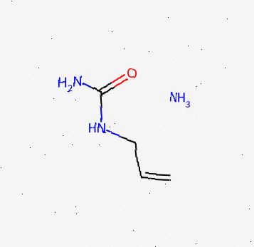 C=CCNC(N)=O.N